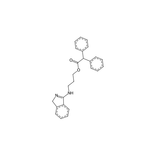 O=C(OCCCNC1=NCc2ccccc21)C(c1ccccc1)c1ccccc1